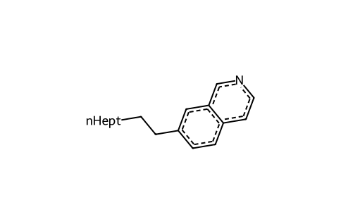 CCCCCCCCCc1ccc2ccncc2c1